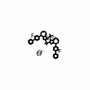 CCC1=[C]([Zr+2]([C]2=C(CC)C=C3C2=CC=CCC3c2ccc(-c3ccccc3)c(F)c2)=[C](C)C)C2=CC=CCC(c3ccc(-c4ccccc4)c(F)c3)C2=C1.[Cl-].[Cl-]